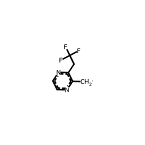 [CH2]c1nccnc1CC(F)(F)F